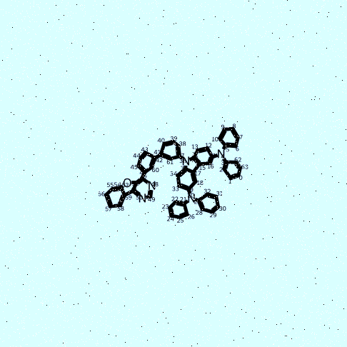 c1ccc(N(c2ccccc2)c2ccc3c(c2)c2cc(N(c4ccccc4)c4ccccc4)ccc2n3-c2cccc(-c3cccc(-c4ncnc5c4oc4ccccc45)c3)c2)cc1